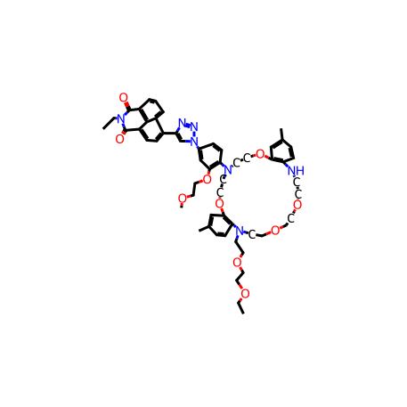 CCOCCOCCN1CCOCCOCCNc2ccc(C)cc2OCCN(c2ccc(-n3cc(-c4ccc5c6c(cccc46)C(=O)N(CC)C5=O)nn3)cc2OCCOC)CCOc2cc(C)ccc21